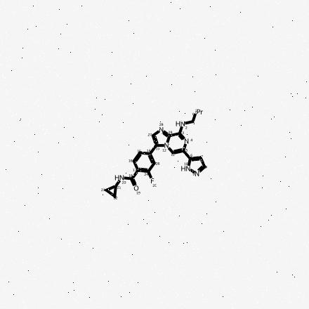 CC(C)CNc1nc(-c2ccn[nH]2)cn2c(-c3ccc(C(=O)NC4CC4)c(F)c3)cnc12